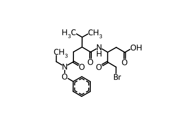 CCN(Oc1ccccc1)C(=O)CC(C(=O)NC(CC(=O)O)C(=O)CBr)C(C)C